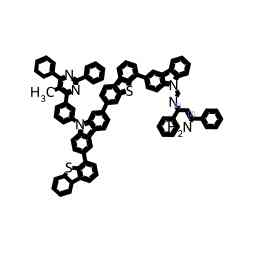 Cc1c(C2=CC=CCC2)nc(-c2ccccc2)nc1-c1cccc(-n2c3ccc(-c4cccc5c4SC4C=CC=CC54)cc3c3ccc(-c4ccc5c(c4)sc4c(-c6ccc7c(c6)c6ccccc6n7C/N=C(\C=C(/N)c6ccccc6)c6ccccc6)cccc45)cc32)c1